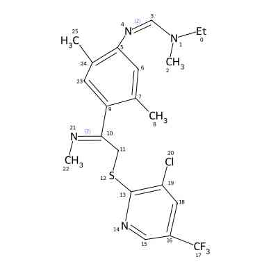 CCN(C)/C=N\c1cc(C)c(/C(CSc2ncc(C(F)(F)F)cc2Cl)=N/C)cc1C